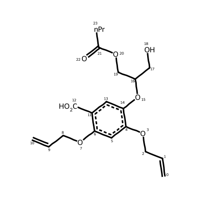 C=CCOc1cc(OCC=C)c(C(=O)O)cc1OC(CO)COC(=O)CCC